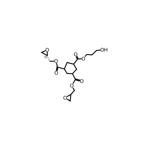 O=C(OCCCO)C1CC(C(=O)OCC2CO2)CC(C(=O)OC[C@@H]2CO2)C1